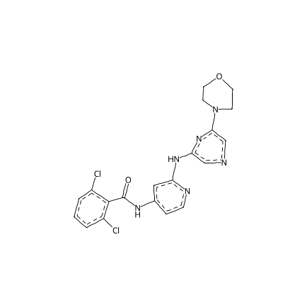 O=C(Nc1ccnc(Nc2cncc(N3CCOCC3)n2)c1)c1c(Cl)cccc1Cl